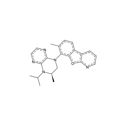 Cc1ccc2c(oc3ncccc32)c1N1C[C@@H](C)N(C(C)C)c2nccnc21